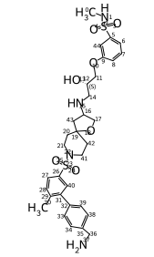 CNS(=O)(=O)c1cccc(OC[C@@H](O)CNC2COC3(CCN(S(=O)(=O)c4ccc(C)c(-c5ccc(CN)cc5)c4)CC3)C2)c1